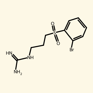 N=C(N)NCCCS(=O)(=O)c1ccccc1Br